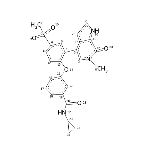 Cn1cc(-c2cc(S(C)(=O)=O)ccc2Oc2cccc(C(=O)NC3CC3)c2)c2cc[nH]c2c1=O